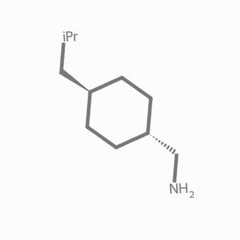 CC(C)C[C@H]1CC[C@H](CN)CC1